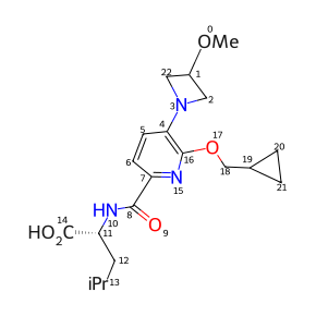 COC1CN(c2ccc(C(=O)N[C@H](CC(C)C)C(=O)O)nc2OCC2CC2)C1